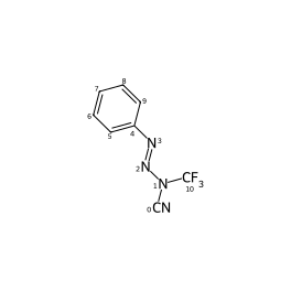 N#CN(N=Nc1ccccc1)C(F)(F)F